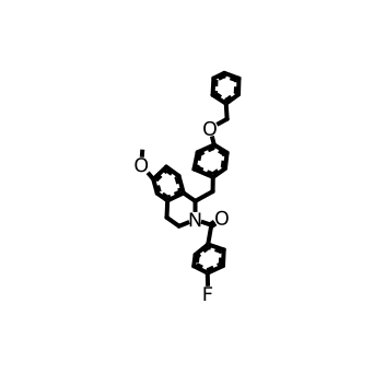 COc1ccc2c(c1)CCN(C(=O)c1ccc(F)cc1)C2Cc1ccc(OCc2ccccc2)cc1